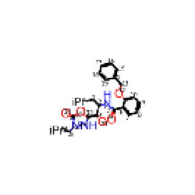 CC(C)CC(NC(=O)c1ccccc1OCc1ccccc1)C(=O)C1NN(CC(C)C)C(=O)O1